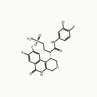 NS(=O)(=O)CCN(C(=O)Nc1ccc(F)c(Cl)c1)[C@@H]1COCc2[nH]c(=O)c3cc(F)c(F)cc3c21